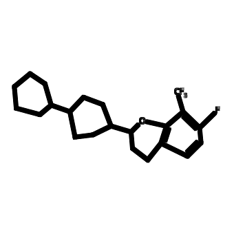 Fc1ccc2c(c1C(F)(F)F)OC(C1CCC(C3CCCCC3)CC1)CC2